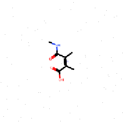 CNC(=O)/C(C)=C(/C)C(=O)O